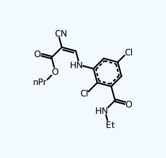 CCCOC(=O)C(C#N)=CNc1cc(Cl)cc(C(=O)NCC)c1Cl